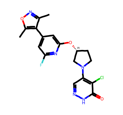 Cc1noc(C)c1-c1cc(F)nc(O[C@@H]2CCN(c3cn[nH]c(=O)c3Cl)C2)c1